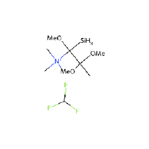 COC(C)(OC)C([SiH3])(OC)[N+](C)(C)C.FC(F)F